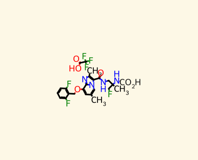 Cc1cc(OCc2c(F)cccc2F)c2nc(C)c(C(=O)NCC(C)(CF)NC(=O)O)n2c1.O=C(O)C(F)(F)F